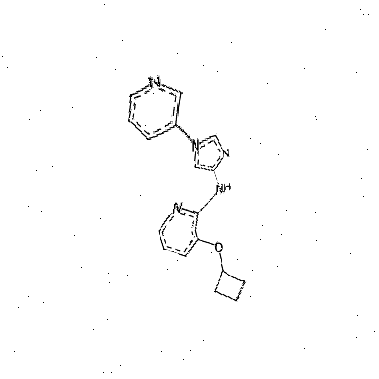 c1cncc(-n2cnc(Nc3ncccc3OC3CCC3)c2)c1